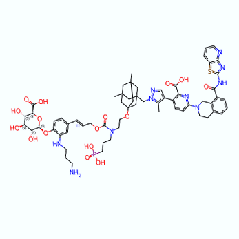 Cc1c(-c2ccc(N3CCc4cccc(C(=O)Nc5nc6ncccc6s5)c4C3)nc2C(=O)O)cnn1CC12CC3(C)CC(C)(C1)CC(OCCN(CCCP(=O)(O)O)C(=O)OC/C=C/c1ccc(O[C@@H]4O[C@H](C(=O)O)[C@@H](O)[C@H](O)[C@H]4O)c(NCCCN)c1)(C3)C2